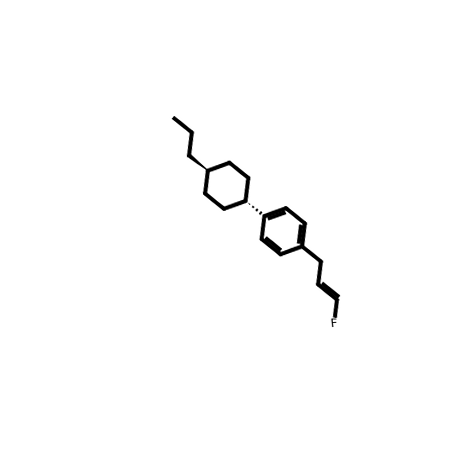 CCC[C@H]1CC[C@H](c2ccc(CC=CF)cc2)CC1